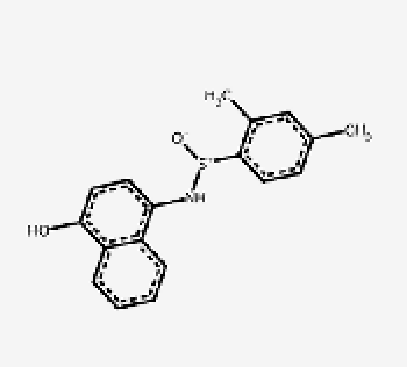 Cc1ccc([S+]([O-])Nc2ccc(O)c3ccccc23)c(C)c1